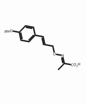 COc1ccc(/C=C/CO/N=C(\C)C(=O)O)cc1